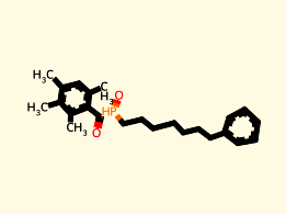 Cc1cc(C)c(C(=O)[PH](=O)CCCCCCCc2ccccc2)c(C)c1C